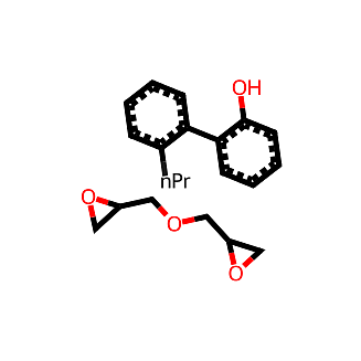 C(OCC1CO1)C1CO1.CCCc1ccccc1-c1ccccc1O